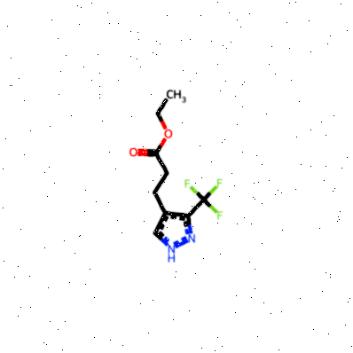 CCOC(=O)CCc1c[nH]nc1C(F)(F)F